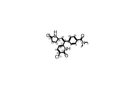 CN(C)C(=O)c1ccc(C(=C[C@H]2CCC(=O)N2)c2ccc(Cl)c(=O)[nH]2)cc1